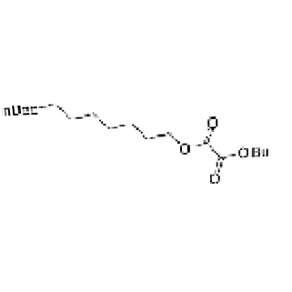 CCCCCCCCCCCCCCCCCOC(=O)C(=O)OCC(C)C